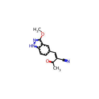 COc1n[nH]c2ccc(C=C(C#N)C(C)=O)cc12